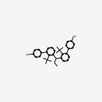 CCC(c1cccc(-c2ccc(O)cc2)c1C(C)(C)C)c1cccc(-c2ccc(O)cc2)c1C(C)(C)C